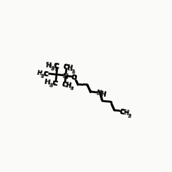 CCCCNCCCO[Si](C)(C)C(C)(C)C